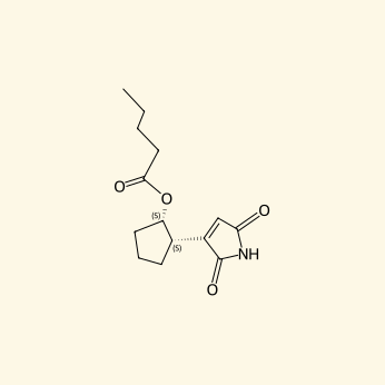 CCCCC(=O)O[C@H]1CCC[C@H]1C1=CC(=O)NC1=O